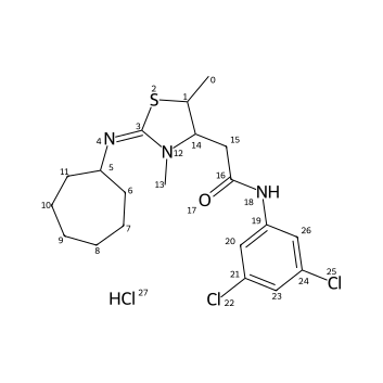 CC1SC(=NC2CCCCCC2)N(C)C1CC(=O)Nc1cc(Cl)cc(Cl)c1.Cl